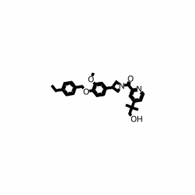 CCc1ccc(COc2ccc(C3CN(C(=O)c4cc(C(C)(C)CO)ccn4)C3)cc2OC)cc1